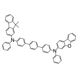 CC1(C)c2ccccc2-c2ccc(N(c3ccccc3)c3ccc(-c4ccc(-c5ccc(N(c6ccccc6)c6ccc7c(c6)oc6ccccc67)cc5)cc4)cc3)cc21